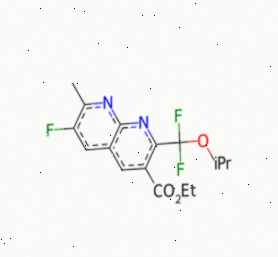 CCOC(=O)c1cc2cc(F)c(C)nc2nc1C(F)(F)OC(C)C